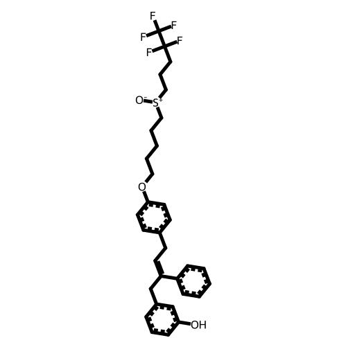 [O-][S+](CCCCCOc1ccc(CC=C(Cc2cccc(O)c2)c2ccccc2)cc1)CCCC(F)(F)C(F)(F)F